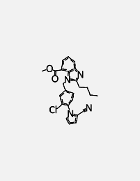 CCCCc1nc2cccc(C(=O)OC)c2n1Cc1ccc(-n2cccc2C#N)c(Cl)c1